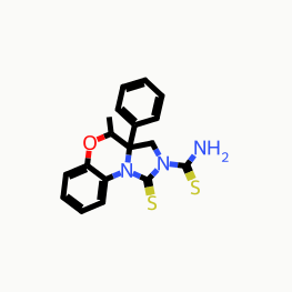 CC1Oc2ccccc2N2C(=S)N(C(N)=S)CC12c1ccccc1